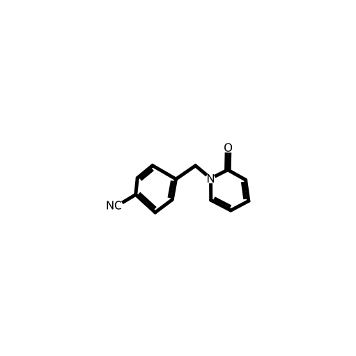 N#Cc1ccc(Cn2ccccc2=O)cc1